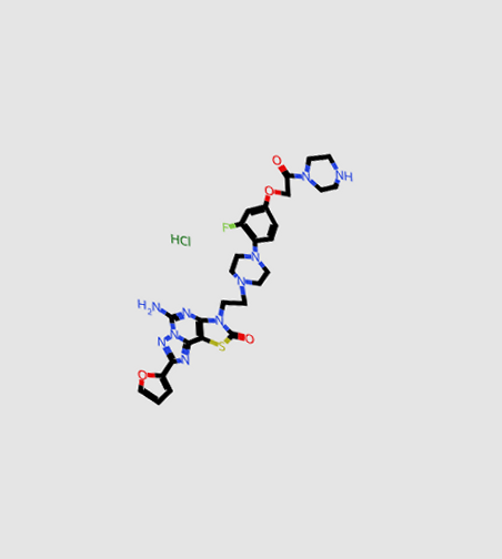 Cl.Nc1nc2c(sc(=O)n2CCN2CCN(c3ccc(OCC(=O)N4CCNCC4)cc3F)CC2)c2nc(-c3ccco3)nn12